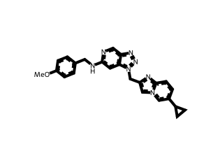 COc1ccc(CNc2cc3c(cn2)nnn3Cc2cn3cc(C4CC4)ccc3n2)cc1